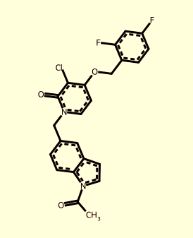 CC(=O)n1ccc2cc(Cn3ccc(OCc4ccc(F)cc4F)c(Cl)c3=O)ccc21